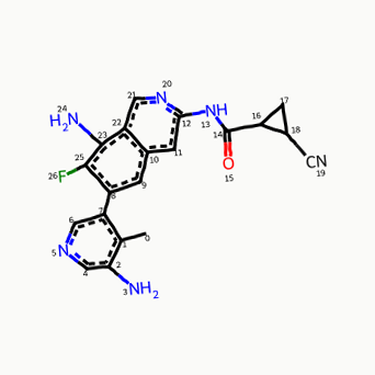 Cc1c(N)cncc1-c1cc2cc(NC(=O)C3CC3C#N)ncc2c(N)c1F